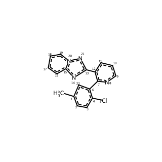 Cc1ccc(Cl)c(-c2ncccc2-c2nc3ccccn3n2)c1